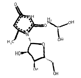 Cc1cc(=O)[nH]c(=O)n1[C@@H]1O[C@H](CO)[C@@H](O)[C@H]1O.NP(O)O